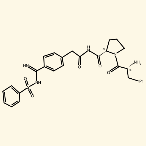 CC(C)C[C@@H](N)C(=O)N1CCC[C@H]1C(=O)NC(=O)Cc1ccc(C(=N)NS(=O)(=O)c2ccccc2)cc1